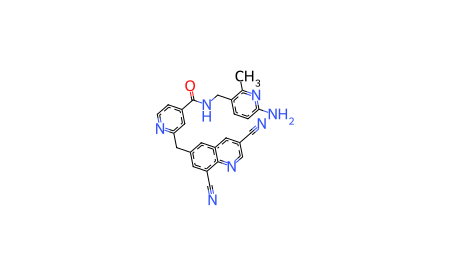 Cc1nc(N)ccc1CNC(=O)c1ccnc(Cc2cc(C#N)c3ncc(C#N)cc3c2)c1